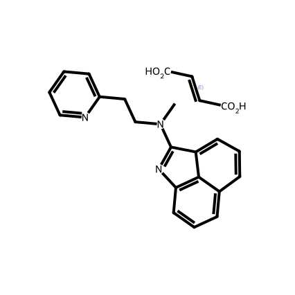 CN(CCc1ccccn1)C1=Nc2cccc3cccc1c23.O=C(O)/C=C/C(=O)O